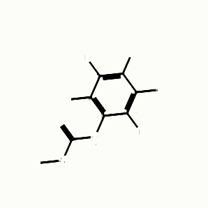 CNC(=O)Oc1c(F)c(F)c(F)c(F)c1F